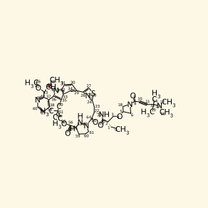 CC[C@@H](COC1CN(C(=O)C#CC(C)(C)N(C)C)C1)C(=O)N[C@H]1Cc2nc(cs2)-c2ccc3c(c2)c(c(-c2cccnc2[C@H](C)OC)n3CC)CC(C)(C)COC(=O)[C@@H]2CCCN(N2)C1=O